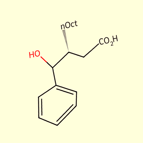 CCCCCCCC[C@H](CC(=O)O)C(O)c1ccccc1